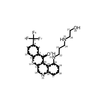 O=c1c2cc(C(F)(F)F)ccc2sc2cnc3cccc(NCCCNCCO)c3c12